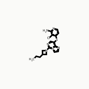 CCCC1CN(c2ncc(Sc3ccnc(N)c3Cl)c3nccn23)C1